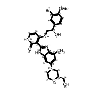 COc1ccc([C@H](O)CNc2cc[nH]c(=O)c2-c2nc3c(C)cc(N4CCO[C@H](CO)C4)cc3[nH]2)cc1Br